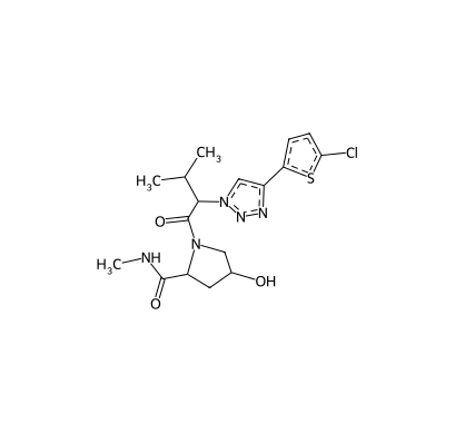 CNC(=O)C1CC(O)CN1C(=O)C(C(C)C)n1cc(-c2ccc(Cl)s2)nn1